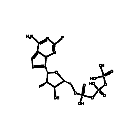 Nc1nc(F)nn2c([C@@H]3O[C@H](COP(=O)(O)OP(=O)(O)OP(=O)(O)O)[C@@H](O)[C@H]3F)ccc12